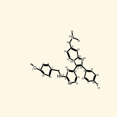 COc1ccc(CNc2nccc(-c3c(-c4ccc(F)cc4)nc4cc(CN(C)C)ccn34)n2)cc1